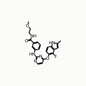 COCCNC(=O)c1cccc(Nc2nccc(Oc3ccc4[nH]c(C)cc4c3F)n2)c1